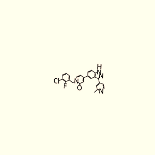 Cc1cc(-c2n[nH]c3ccc(-c4ccn(Cc5cccc(Cl)c5F)c(=O)c4)cc23)ccn1